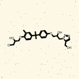 Cc1cc(C(C)(C)c2ccc(OCC(O)Cn3nncc3CO)cc2)ccc1OCC(O)CCl